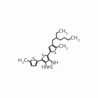 CCCCC(CC)Cc1cc(-c2sc(-c3ccc(C)s3)c3c2NSN3)sc1C